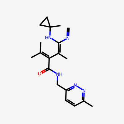 C=N/C(NC1(C)CC1)=C(\C)C(C(=O)NCc1ccc(C)nn1)=C(C)C